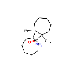 CC(C)C1(C2CCCCCC2)CCCCCC1(C)C(N)=O